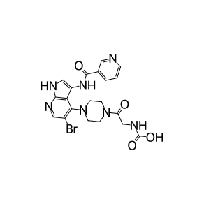 O=C(O)NCC(=O)N1CCN(c2c(Br)cnc3[nH]cc(NC(=O)c4cccnc4)c23)CC1